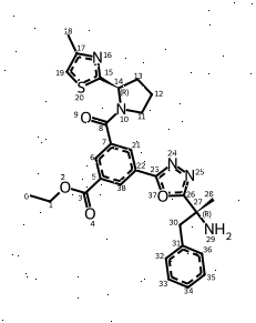 CCOC(=O)c1cc(C(=O)N2CCC[C@@H]2c2nc(C)cs2)cc(-c2nnc([C@](C)(N)Cc3ccccc3)o2)c1